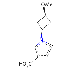 CO[C@H]1C[C@@H](n2ccc(C(=O)O)c2)C1